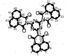 O=C1c2cccc3cccc(c23)C(=O)C1c1nc(N2C(=O)c3cccc4cccc(c34)C2=O)nc(N2C(=O)c3cccc4cccc(c34)C2=O)n1